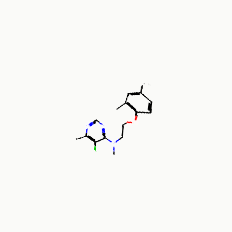 CCCCCc1ccc(OCCN(C)c2ncnc(C)c2Cl)c(C)c1